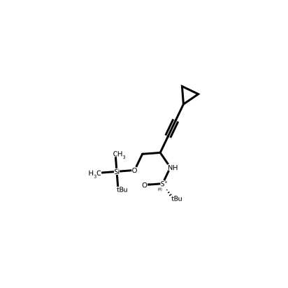 CC(C)(C)[S@+]([O-])NC(C#CC1CC1)CO[Si](C)(C)C(C)(C)C